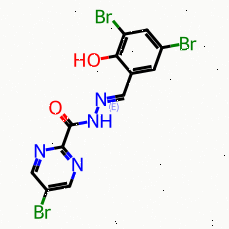 O=C(N/N=C/c1cc(Br)cc(Br)c1O)c1ncc(Br)cn1